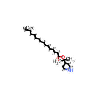 CCCCCCCCCCCCCCCCCCCCCCCCC(=O)OC(C)(C)C1CCNCC1